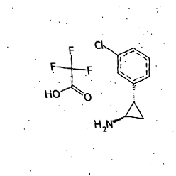 N[C@@H]1C[C@H]1c1cccc(Cl)c1.O=C(O)C(F)(F)F